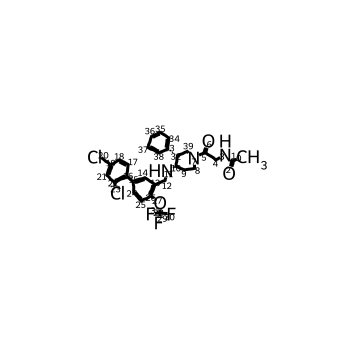 CC(=O)NCC(=O)N1CC[C@H](NCc2cc(-c3ccc(Cl)cc3Cl)ccc2OC(F)(F)F)[C@H](c2ccccc2)C1